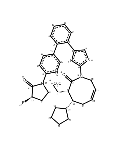 O=C(O)C[C@@H]1C(=O)N(c2nc(-c3ccccc3-c3ccc(N4CC[C@@H](F)C4=O)nc3)cs2)CC=CC[C@@H]1C1CCCC1